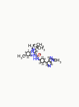 Cc1ccc(-n2nc(C(C)(C)C)cc2NC(=O)Nc2ccc(-c3cncc4c3cnn4C)cc2)cc1